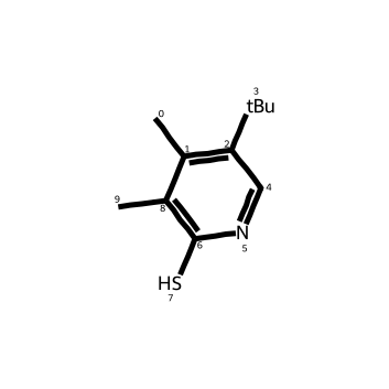 Cc1c(C(C)(C)C)cnc(S)c1C